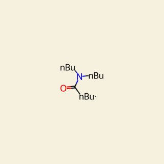 CCC[CH]C(=O)N(CCCC)CCCC